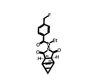 CCN(C(=O)c1ccc(CF)cc1)N1C(=O)[C@@H]2C3C=CC(C4CC43)[C@@H]2C1=O